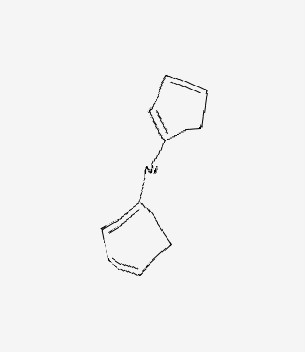 C1=CC[C]([Ni][C]2=CC=CC2)=C1